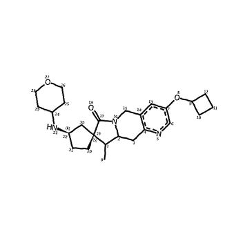 CC1C2Cc3ncc(OC4CCC4)cc3CN2C(=O)[C@]12CC[C@@H](NC1CCOCC1)C2